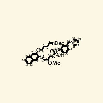 CCCCCCCCCCCCCCOc1cc2ccccc2cc1OCC(COP(=O)(O)Oc1cccc(C[n+]2ccsc2)c1)OC